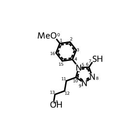 COc1ccc(-n2c(S)nnc2CCCO)cc1